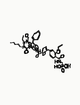 CCCCC[C@@H](C(=O)NCNC(=O)c1ccc(-c2ccc(C(=O)NCP(=O)(O)O)c(OCC)c2)o1)[C@@H](CC)N(C=O)OC(=O)c1ccccc1